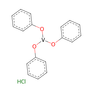 Cl.c1ccc([O][V]([O]c2ccccc2)[O]c2ccccc2)cc1